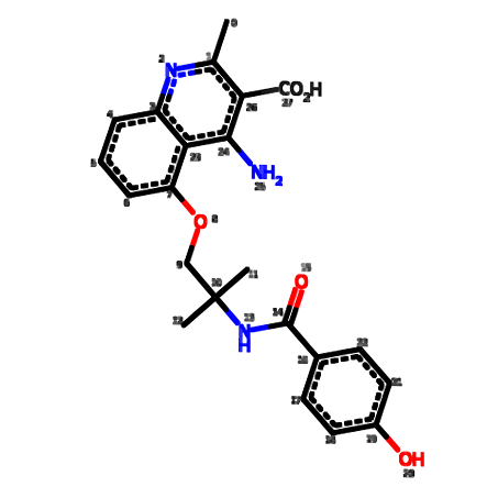 Cc1nc2cccc(OCC(C)(C)NC(=O)c3ccc(O)cc3)c2c(N)c1C(=O)O